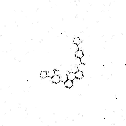 COc1nc(-c2cccc(-c3cccc(NC(=O)c4ccc(C5=NCCN5)cn4)c3C)c2Cl)ccc1C1=NCCN1